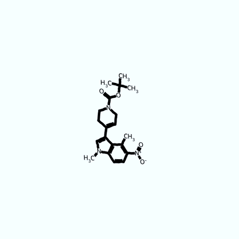 Cc1c([N+](=O)[O-])ccc2c1c(C1=CCN(C(=O)OC(C)(C)C)CC1)cn2C